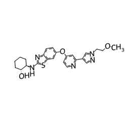 COCCn1cc(-c2cc(Oc3ccc4nc(N[C@@H]5CCCC[C@H]5O)sc4c3)ccn2)cn1